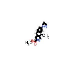 CCc1cnc(C(=O)OC)cc1Cc1ccc(-n2cccn2)cc1